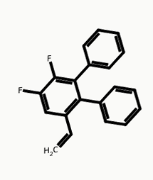 C=Cc1cc(F)c(F)c(-c2ccccc2)c1-c1ccccc1